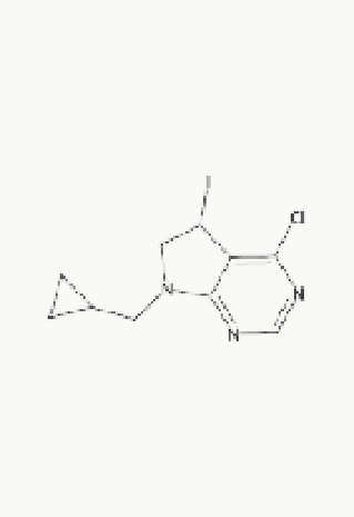 Clc1ncnc2c1C(I)CN2CC1CC1